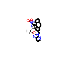 CCOc1nc2cccnc2n1Cc1ccc2c(c1)CCc1ccccc1C2=C(C)c1noc(=O)[nH]1